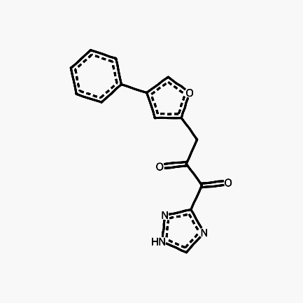 O=C(Cc1cc(-c2ccccc2)co1)C(=O)c1nc[nH]n1